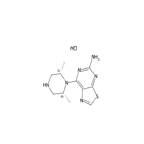 C[C@@H]1CNC[C@H](C)N1c1nc(N)nc2scnc12.Cl